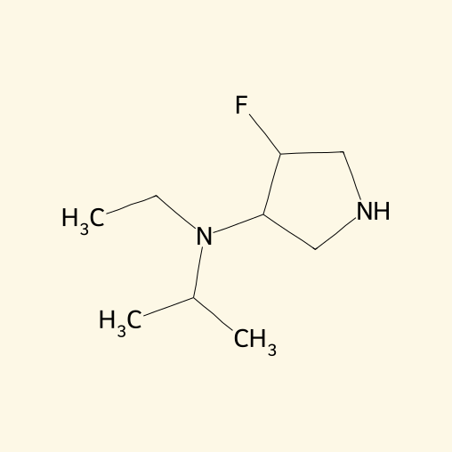 CCN(C(C)C)C1CNCC1F